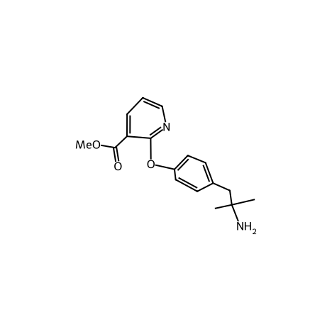 COC(=O)c1cccnc1Oc1ccc(CC(C)(C)N)cc1